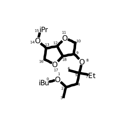 CCC(C)OC(C)CC(C)(CC)OC1COC2C(OC(C)C)COC12